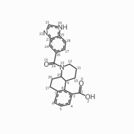 O=C(O)c1cccc2c1C1CCCN(C(=O)c3ccc4[nH]cnc4c3)C1CC2